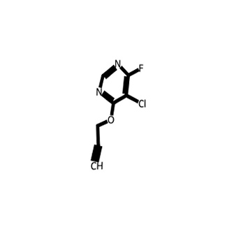 C#CCOc1ncnc(F)c1Cl